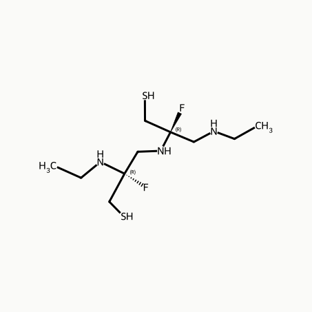 CCNC[C@@](F)(CS)NC[C@@](F)(CS)NCC